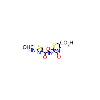 O=CNc1nc(C(=O)C(=O)NC2C(=O)N3C=C(C(=O)O)CS[C@H]23)cs1